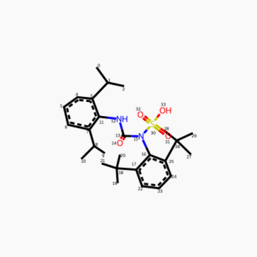 CC(C)c1cccc(C(C)C)c1NC(=O)N(c1c(C(C)(C)C)cccc1C(C)(C)C)S(=O)(=O)O